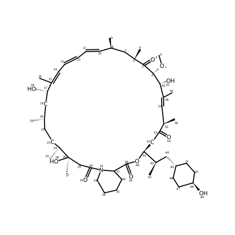 CO[C@H]1C(=O)[C@H](C)C[C@H](C)/C=C/C=C/C=C(\C)[C@@H](O)C[C@@H](C)CC[C@@H](C)[C@](C)(O)CC(=O)N2CCCCC2C(=O)O[C@H]([C@H](C)C[C@H]2CC[C@H](O)CC2)CC(=O)[C@H](C)/C=C(\C)[C@H]1O